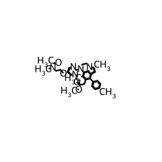 COC(=O)Cc1c(C)c2c3c(cc(C)n3CCN2c2ncc(OCCN(C)C(C)=O)cn2)c1-c1ccc(C)cc1